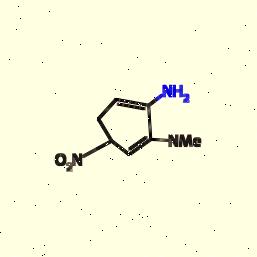 CNC1=CC([N+](=O)[O-])CC=C1N